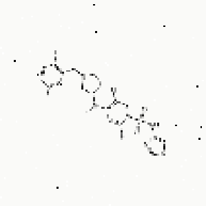 Cc1ccc(F)c(CN2CCC(N(C)c3cc(F)c(S(=O)(=O)Nc4cscn4)cc3Cl)C2)n1